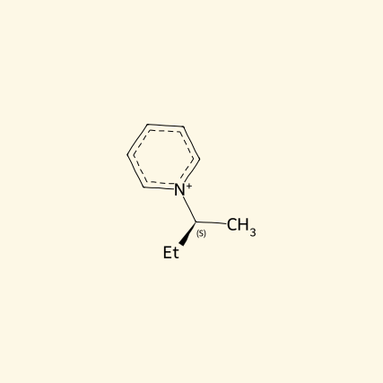 CC[C@H](C)[n+]1ccccc1